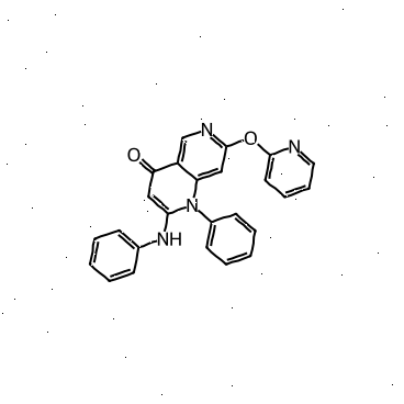 O=c1cc(Nc2ccccc2)n(-c2ccccc2)c2cc(Oc3ccccn3)ncc12